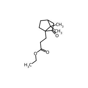 CCOC(=O)CCC12CCC(CC1=O)C2(C)C